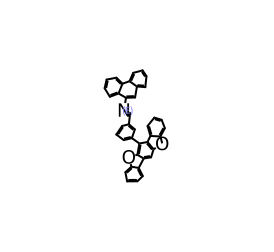 C(=N\c1cc2ccccc2c2ccccc12)/c1cccc(-c2c3oc4ccccc4c3cc3oc4ccccc4c23)c1